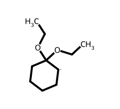 CCOC1(OCC)[CH]CCCC1